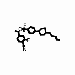 C/C=C/CCC1CCC(c2ccc(C(F)(F)OC(C)c3ccc(C#N)c(F)c3)cc2)CC1